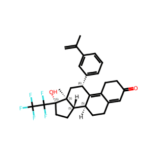 C=C(C)c1cccc([C@H]2C[C@@]3(C)[C@@H](CC[C@@]3(O)C(F)(F)C(F)(F)F)[C@@H]3CCC4=CC(=O)CCC4=C32)c1